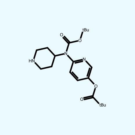 CC(C)(C)OC(=O)N(c1ccc(OC(=O)C(C)(C)C)cn1)C1CCNCC1